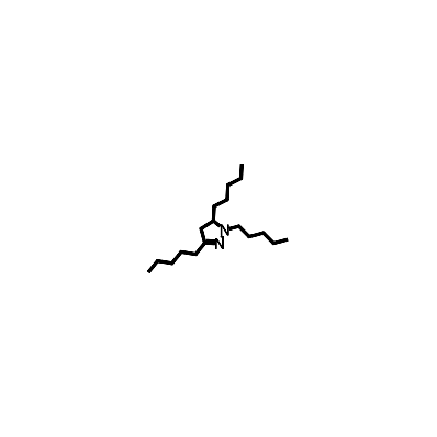 CCCCCC1=NN(CCCCC)C(CCCCC)C1